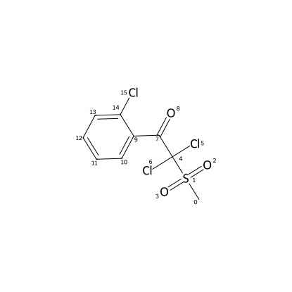 CS(=O)(=O)C(Cl)(Cl)C(=O)c1ccccc1Cl